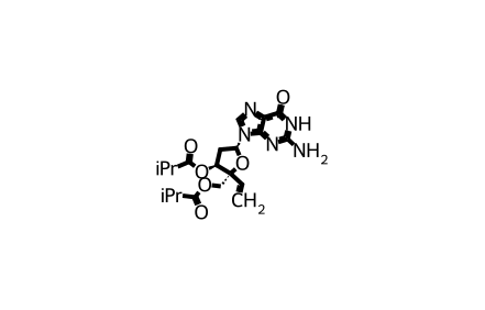 C=C[C@]1(COC(=O)C(C)C)O[C@@H](n2cnc3c(=O)[nH]c(N)nc32)C[C@@H]1OC(=O)C(C)C